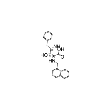 N[C@@H](Cc1ccccc1)[C@@H](O)[C@@H](NCc1cccc2ccccc12)C(=O)O